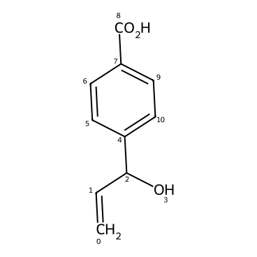 C=CC(O)c1ccc(C(=O)O)cc1